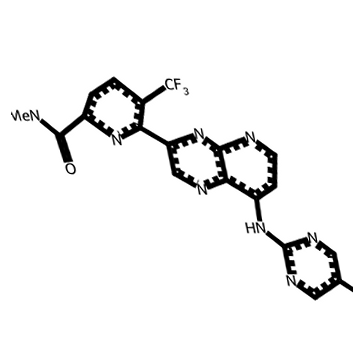 CNC(=O)c1ccc(C(F)(F)F)c(-c2cnc3c(Nc4ncc(C(F)(F)F)cn4)ccnc3n2)n1